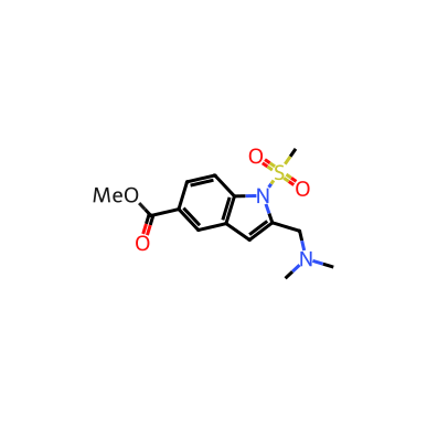 COC(=O)c1ccc2c(c1)cc(CN(C)C)n2S(C)(=O)=O